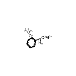 Nc1ccccc1.[Al+3].[Al+3].[O-2].[O-2].[O-2]